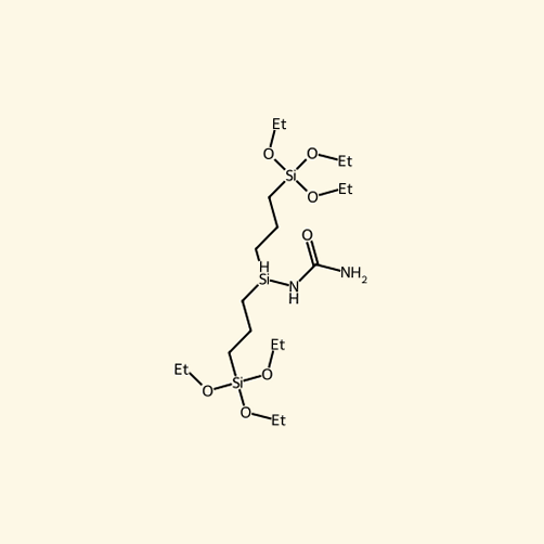 CCO[Si](CCC[SiH](CCC[Si](OCC)(OCC)OCC)NC(N)=O)(OCC)OCC